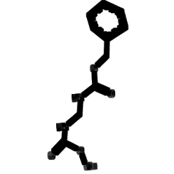 CC(C)(C)OC(=O)NCNC(=O)OCc1ccccc1